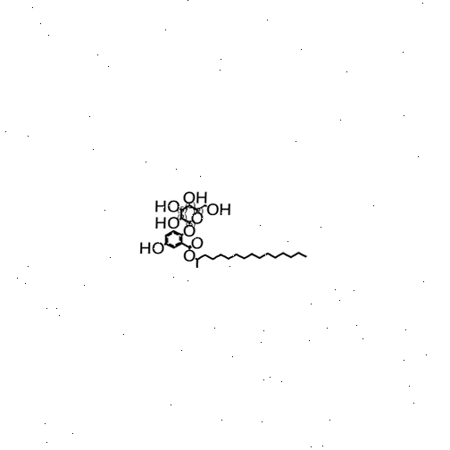 CCCCCCCCCCCCCCC(C)OC(=O)c1cc(O)ccc1O[C@@H]1O[C@H](CO)[C@@H](O)[C@H](O)[C@H]1O